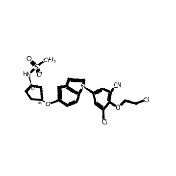 CS(=O)(=O)N[C@@H]1CC[C@@H](Oc2ccc3c(ccn3-c3cc(Cl)c(OCCCl)c(C#N)c3)c2)C1